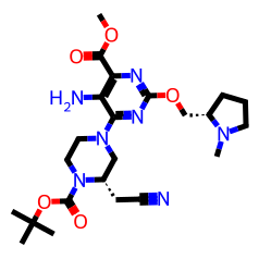 COC(=O)c1nc(OC[C@@H]2CCCN2C)nc(N2CCN(C(=O)OC(C)(C)C)[C@@H](CC#N)C2)c1N